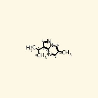 Cc1cnc2c(C(C)C)cnn2c1